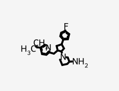 C=C(C)c1ccc(CC2CC(c3ccc(F)cc3)CC2N2CCCC(N)C2)nc1